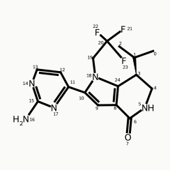 CC(C)[C@H]1CNC(=O)c2cc(-c3ccnc(N)n3)n(CC(F)(F)F)c21